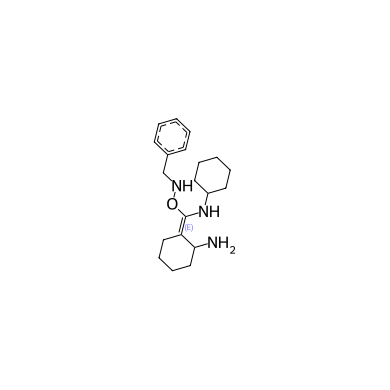 NC1CCCC/C1=C(/NC1CCCCC1)ONCc1ccccc1